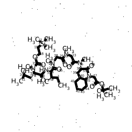 CC[C@H](C)[C@H](NC(=O)[C@H](CC(C)C)N(C)C(=O)OCC[Si](C)(C)C)C(=O)N(C)CC(=O)N(C)CC(=O)N(C)[C@H]1CC2CCCCC2N(CC(=O)OC(C)(C)C)C1=O